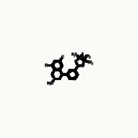 CN1Cc2c(Cl)cc(Cl)cc2C(c2cccc(B3OC(C)(C)C(C)(C)O3)c2)C1